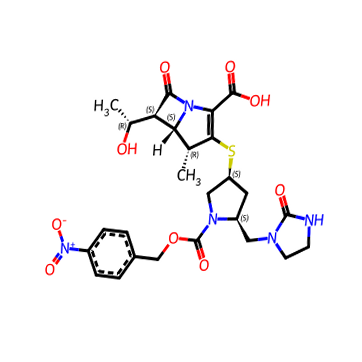 C[C@@H](O)[C@H]1C(=O)N2C(C(=O)O)=C(S[C@H]3C[C@@H](CN4CCNC4=O)N(C(=O)OCc4ccc([N+](=O)[O-])cc4)C3)[C@H](C)[C@H]12